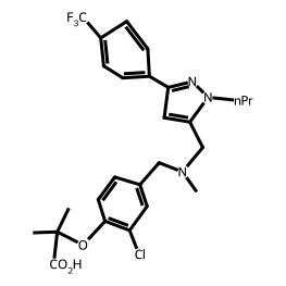 CCCn1nc(-c2ccc(C(F)(F)F)cc2)cc1CN(C)Cc1ccc(OC(C)(C)C(=O)O)c(Cl)c1